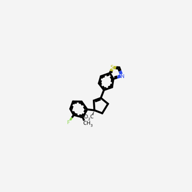 Cc1c(F)cccc1[C@@]1(C(=O)O)C=C(c2ccc3scnc3c2)CC1